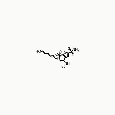 CCN[C@H]1CN(CCCCCCO)S(=O)(=O)c2sc(S(N)(=O)=O)cc21